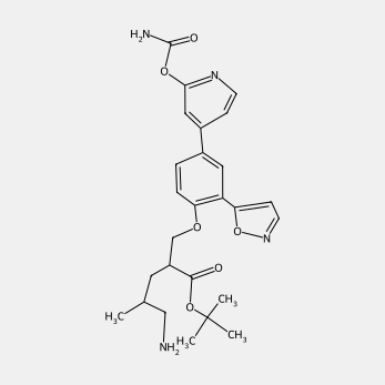 CC(CN)CC(COc1ccc(-c2ccnc(OC(N)=O)c2)cc1-c1ccno1)C(=O)OC(C)(C)C